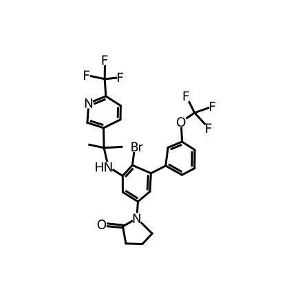 CC(C)(Nc1cc(N2CCCC2=O)cc(-c2cccc(OC(F)(F)F)c2)c1Br)c1ccc(C(F)(F)F)nc1